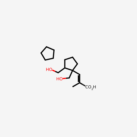 C1CCCC1.CC(=CC1(CO)CCCC1CO)C(=O)O